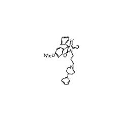 COc1ccc(C2(c3ccccc3)NC(=O)N(CCCN3CCC(c4ccccc4)CC3)C2=O)cc1